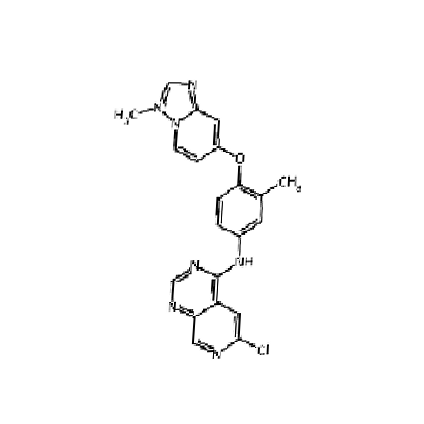 Cc1cc(Nc2ncnc3cnc(Cl)cc23)ccc1Oc1ccn2c(c1)nc[n+]2C